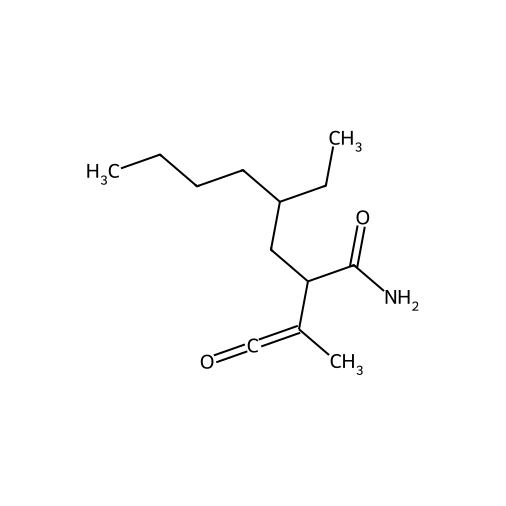 CCCCC(CC)CC(C(N)=O)C(C)=C=O